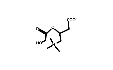 C[N+](C)(C)CC(CC(=O)[O-])OC(=O)CO